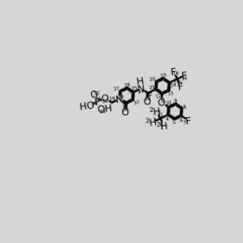 [2H]C([2H])([2H])c1cc(F)ccc1Oc1cc(C(F)(F)F)ccc1C(=O)Nc1ccn(COP(=O)(O)O)c(=O)c1